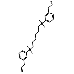 C=CCc1cccc([Si](C)(C)CCCCCC[Si](C)(C)c2cccc(CC=C)c2)c1